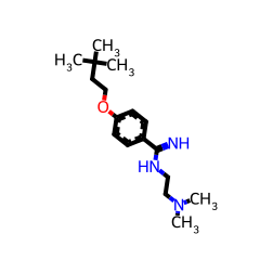 CN(C)CCNC(=N)c1ccc(OCCC(C)(C)C)cc1